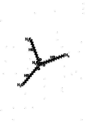 CCCCCCCCC(O)CCCCCCCCC(=O)OCC(CC)(COC(=O)CCCCCCCCC(O)CCCCCCCC)COC(=O)CCCCCCCCC(O)CCCCCCCC